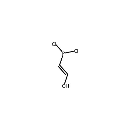 OC=CP(Cl)Cl